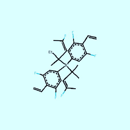 C=Cc1c(F)cc([B-](c2cc(F)c(C=C)c(F)c2)(C(C)(C)/C=C(\C)F)C(C)(/C=C(\C)F)CC)cc1F